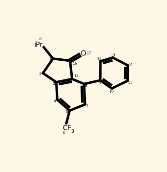 CC(C)C1Cc2cc(C(F)(F)F)cc(-c3ccccc3)c2C1=O